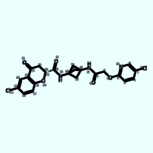 O=C(COc1ccc(Cl)cn1)NC12CC(NC(=O)[C@H]3CC(=O)c4cc(Cl)ccc4O3)(C1)C2